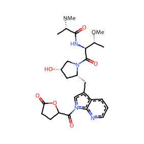 CN[C@@H](C)C(=O)N[C@H](C(=O)N1C[C@@H](O)C[C@H]1Cc1cn(C(=O)C2CCC(=O)O2)c2ncccc12)[C@@H](C)OC